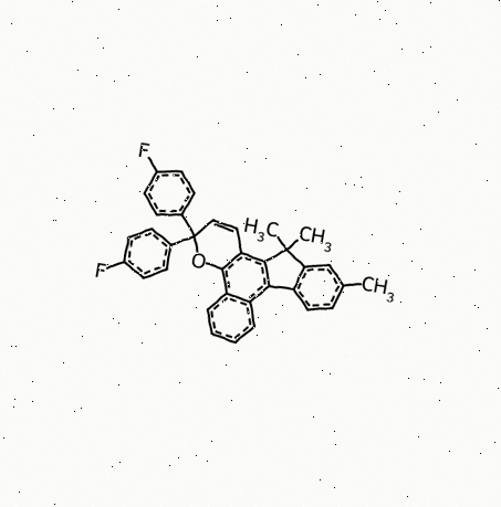 Cc1ccc2c(c1)C(C)(C)c1c3c(c4ccccc4c1-2)OC(c1ccc(F)cc1)(c1ccc(F)cc1)C=C3